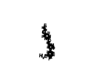 Cc1cc(-n2cc(COc3ncc(OCCF)cn3)nn2)ccc1F